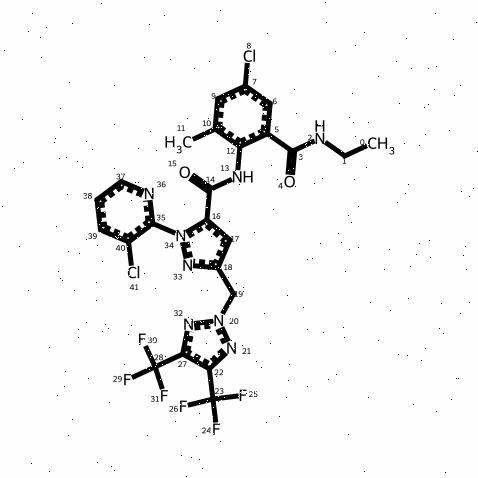 CCNC(=O)c1cc(Cl)cc(C)c1NC(=O)c1cc(Cn2nc(C(F)(F)F)c(C(F)(F)F)n2)nn1-c1ncccc1Cl